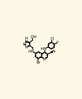 N#Cc1cnc2c(Br)cc(NCc3nn[nH]c3CO)cc2c1Nc1ccc(F)c(Cl)c1